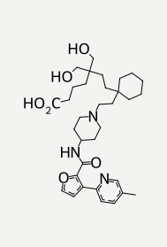 Cc1ccc(-c2ccoc2C(=O)NC2CCN(CCC3(CCC(CO)(CO)CCCC(=O)O)CCCCC3)CC2)nc1